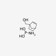 NP(O)O.OCC12C=CC(CC1)C2